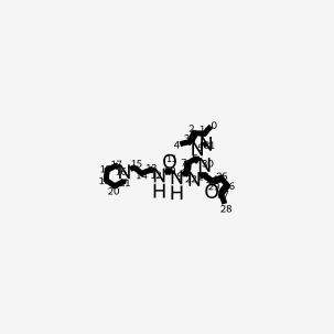 Cc1cc(C)n(-c2cc(NC(=O)NCCCN3CCCCC3)nc(-c3ccc(C)o3)n2)n1